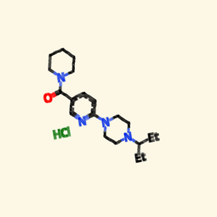 CCC(CC)N1CCN(c2ccc(C(=O)N3CCCCC3)cn2)CC1.Cl